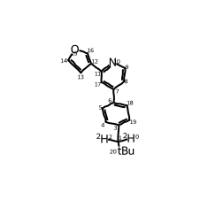 [2H]C([2H])(c1ccc(-c2ccnc(-c3ccoc3)c2)cc1)C(C)(C)C